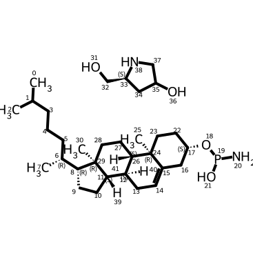 CC(C)CCC[C@@H](C)[C@H]1CC[C@H]2[C@@H]3CC=C4C[C@@H](OP(N)O)CC[C@]4(C)[C@H]3CC[C@]12C.OC[C@@H]1CC(O)CN1